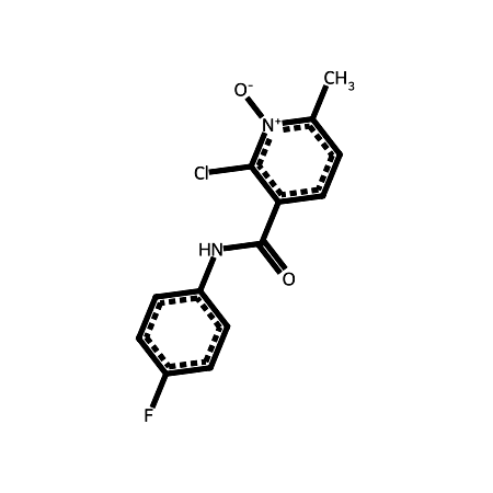 Cc1ccc(C(=O)Nc2ccc(F)cc2)c(Cl)[n+]1[O-]